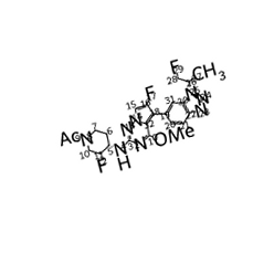 COc1nc(N[C@H]2CCN(C(C)=O)C[C@H]2F)nn2cc(F)c(-c3ccc4nnn([C@H](C)CF)c4c3)c12